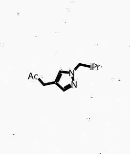 C[C](C)Cn1cc(CC(C)=O)cn1